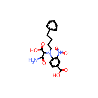 NC(=O)C(C(=O)O)N(CCCCc1ccccc1)c1ccc(C(=O)O)cc1[N+](=O)[O-]